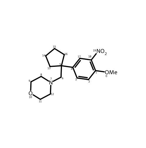 COc1ccc(C2(CN3CCOCC3)CCCC2)cc1[N+](=O)[O-]